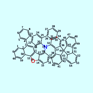 C1=CC2C(c3ccccc3)=Cc3c(oc4cccc(N(c5ccccc5-c5ccccc5)c5cccc6c5-c5ccccc5C65c6ccccc6C6C=CC=CC65)c34)C2C=C1